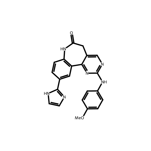 COc1ccc(Nc2ncc3c(n2)-c2cc(-c4ncc[nH]4)ccc2NC(=O)C3)cc1